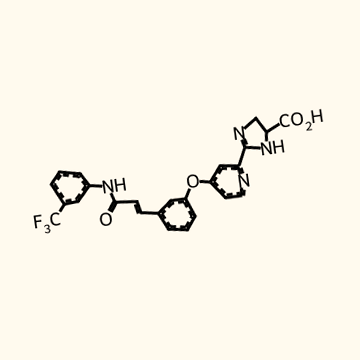 O=C(C=Cc1cccc(Oc2ccnc(C3=NCC(C(=O)O)N3)c2)c1)Nc1cccc(C(F)(F)F)c1